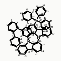 c1ccc(-c2ccccc2-c2cccc(-n3c4ccccc4c4cccc(-n5c6ccccc6c6c([Si](c7ccccc7)(c7ccccc7)c7ccccc7)cccc65)c43)c2)cc1